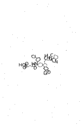 C[C@@H](COc1ccnc2c1[C@H](C)CCC2)C[C@H]1Cc2cc3c(cc2C12CCC(Nc1cccc(Cl)c1)(C(=O)OCCCS(=O)(=O)O)CC2)OCO3